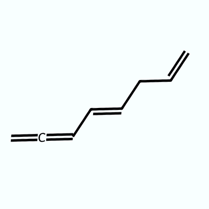 C=C=CC=CCC=C